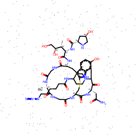 CC[C@H](C)[C@@H]1NC(=O)CNC(=O)[C@H](NC(=O)[C@@H](NC(=O)[C@@H]2C[C@@H](O)CN2)[C@@H](C)[C@@H](O)CO)Cc2c3[nH]c4c(c(O)ccc24)C(N2CCC(NC(=O)CCCCCN=[N+]=[N-])CC2)C(=O)[C@H](CC(N)=O)NC(=O)[C@H](CS3)NC(=O)CNC1=O